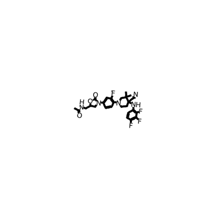 CC(=O)NCC1CN(c2ccc(N3CCC(C#N)(Nc4ccc(F)c(F)c4F)C(C)(C)C3)c(F)c2)C(=O)O1